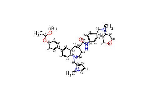 CCCCOC(C)Oc1ccc(-c2ccc3c(c2)C=C(C(=O)Nc2ccc(CN(C)C4CCOCC4)cc2)CCN3Cc2cccn2C)cc1